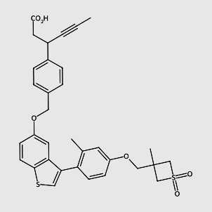 CC#CC(CC(=O)O)c1ccc(COc2ccc3scc(-c4ccc(OCC5(C)CS(=O)(=O)C5)cc4C)c3c2)cc1